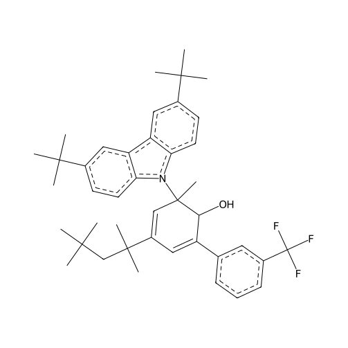 CC(C)(C)CC(C)(C)C1=CC(C)(n2c3ccc(C(C)(C)C)cc3c3cc(C(C)(C)C)ccc32)C(O)C(c2cccc(C(F)(F)F)c2)=C1